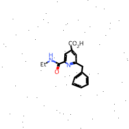 CCNC(=O)c1cc(C(=O)O)cc(Cc2ccccc2)n1